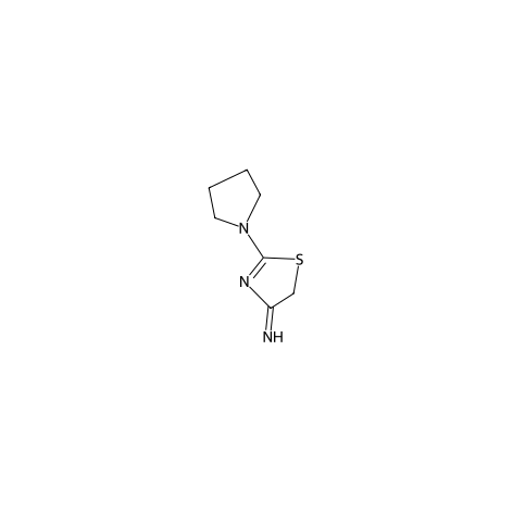 N=C1CSC(N2CCCC2)=N1